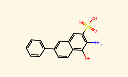 Nc1c(S(=O)(=O)O)cc2cc(-c3ccccc3)ccc2c1O